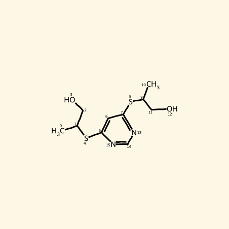 CC(CO)Sc1cc(SC(C)CO)ncn1